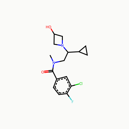 CN(CC(C1CC1)N1CC(O)C1)C(=O)c1ccc(F)c(Cl)c1